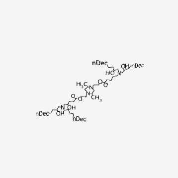 CCCCCCCCCCCCC(O)CN(CCCCC(=O)OCCN1CC(C)N(CCOC(=O)CCCCN(CC(O)CCCCCCCCCCCC)CC(O)CCCCCCCCCCCC)CC1C)CC(O)CCCCCCCCCCCC